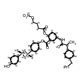 CC(C)Cc1ccc(C(C)C(=O)Nc2ccc(OC(=O)CCCO[N+](=O)[O-])c(C(=O)Oc3ccc(P4(=S)SP(=S)(c5ccc(O)cc5)S4)cc3)c2)cc1